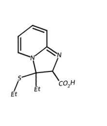 CCSC1(CC)C(C(=O)O)N=C2C=CC=CN21